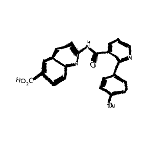 CC(C)(C)c1ccc(-c2ncccc2C(=O)Nc2ccc3cc(C(=O)O)ccc3n2)cc1